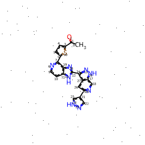 CC(=O)c1ccc(-c2nccc3[nH]c(-c4n[nH]c5cnc(-c6cn[nH]c6)cc45)nc23)s1